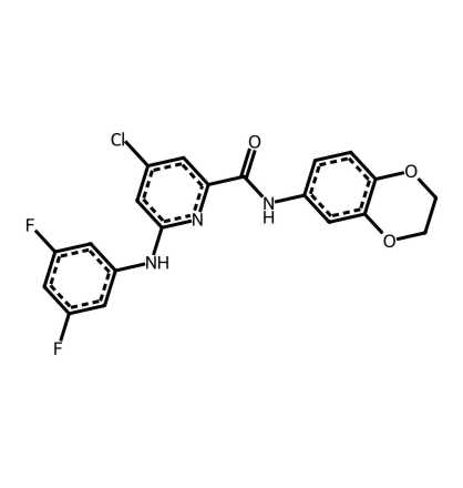 O=C(Nc1ccc2c(c1)OCCO2)c1cc(Cl)cc(Nc2cc(F)cc(F)c2)n1